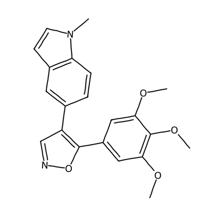 COc1cc(-c2oncc2-c2ccc3c(ccn3C)c2)cc(OC)c1OC